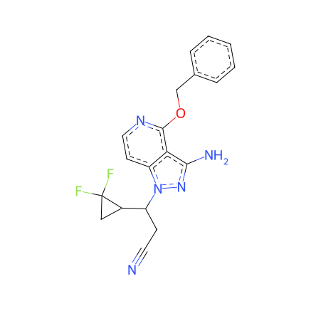 N#CCC(C1CC1(F)F)n1nc(N)c2c(OCc3ccccc3)nccc21